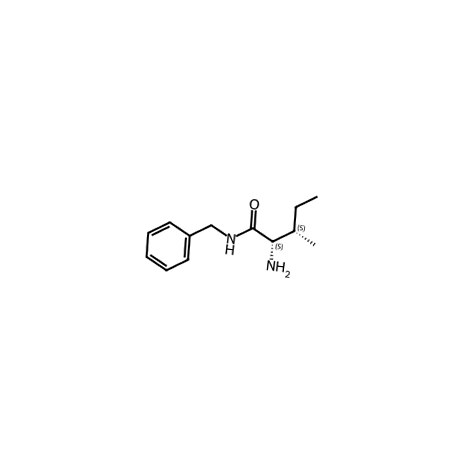 CC[C@H](C)[C@H](N)C(=O)NCc1ccccc1